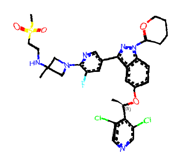 C[C@@H](Oc1ccc2c(c1)c(-c1cnc(N3CC(C)(NCCS(C)(=O)=O)C3)c(F)c1)nn2C1CCCCO1)c1c(Cl)cncc1Cl